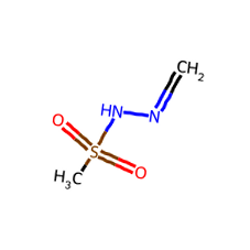 C=NNS(C)(=O)=O